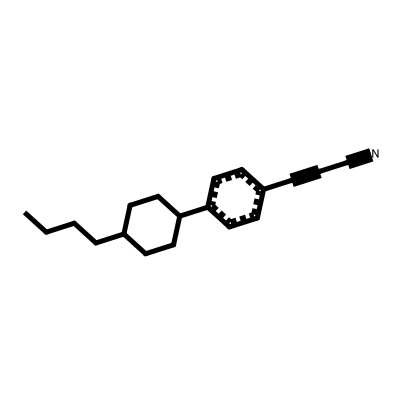 CCCCC1CCC(c2ccc(C#CC#N)cc2)CC1